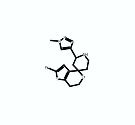 CCc1cc2c(s1)CCOC21CCNC(c2cn(C)nn2)C1